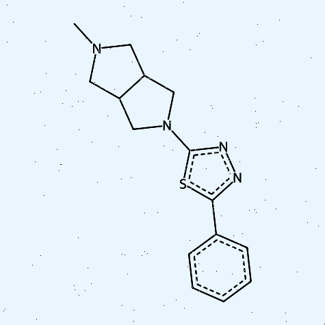 CN1CC2CN(c3nnc(-c4ccccc4)s3)CC2C1